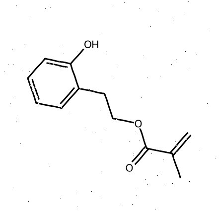 C=C(C)C(=O)OCCc1ccccc1O